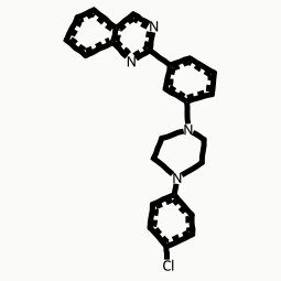 Clc1ccc(N2CCN(c3cccc(-c4ncc5ccccc5n4)c3)CC2)cc1